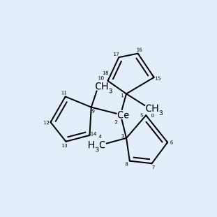 C[C]1([Ce]([C]2(C)C=CC=C2)[C]2(C)C=CC=C2)C=CC=C1